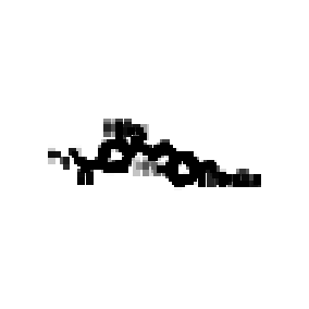 CCCCNCc1ccc2[nH]c(-c3n[nH]c4cc(C(N)=O)ccc34)cc2c1